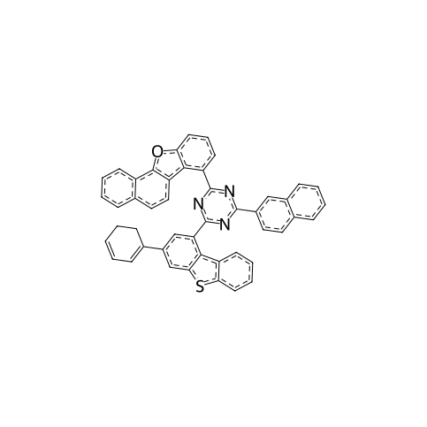 C1=CCCC(c2cc(-c3nc(-c4ccc5ccccc5c4)nc(-c4cccc5oc6c7ccccc7ccc6c45)n3)c3c(c2)sc2ccccc23)=C1